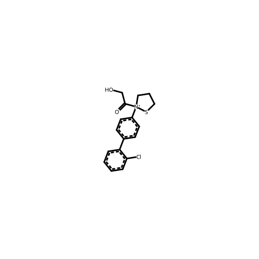 O=C(CO)[N+]1(c2ccc(-c3ccccc3Cl)cc2)CCCS1